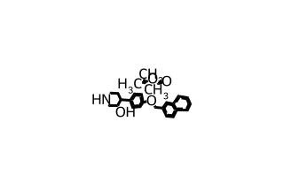 CC(C)(C)OC=O.OC1CNCCC1c1ccc(OCc2ccc3ccccc3c2)cc1